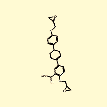 CCCC(CC)c1cc(C2=CCC(c3ccc(OCC4CO4)cc3)CC2)ccc1OCC1CO1